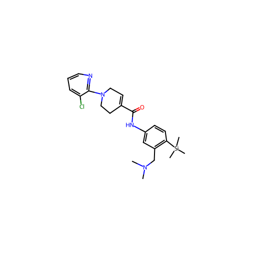 CN(C)Cc1cc(NC(=O)C2=CCN(c3ncccc3Cl)CC2)ccc1[Si](C)(C)C